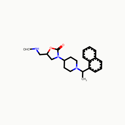 CC(c1cccc2ccccc12)N1CCC(N2CC(CNC=O)OC2=O)CC1